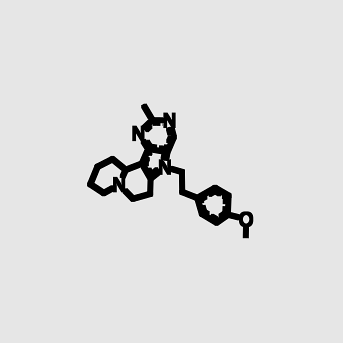 COc1ccc(CCn2c3c(c4nc(C)ncc42)C2CCCCN2CC3)cc1